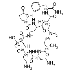 CC(C)C[C@H](C)C(=O)N[C@@H](CCN)C(=O)N[C@@H](CCN)C(=O)N[C@H](C(=O)NCCC(NC(=O)[C@@H]1CCC(=O)N1)C(=O)N[C@@H](CCN)C(=O)N[C@H](Cc1ccccc1)C(N)=O)[C@@H](C)O